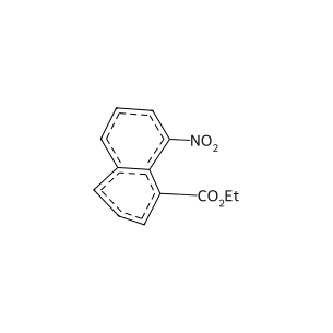 CCOC(=O)c1cccc2cccc([N+](=O)[O-])c12